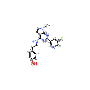 CC(C)n1ccc2c(NCCc3ccc(O)cc3)nc(-c3cncc(F)c3)nc21